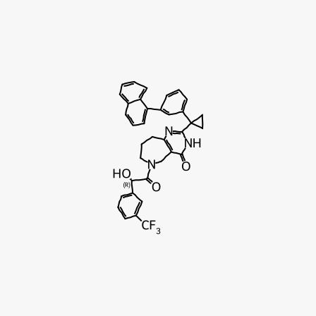 O=C([C@H](O)c1cccc(C(F)(F)F)c1)N1CCCc2nc(C3(c4cccc(-c5cccc6ccccc56)c4)CC3)[nH]c(=O)c2C1